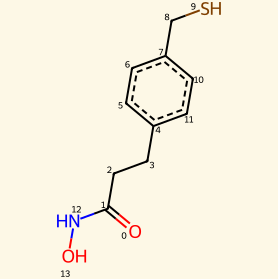 O=C(CCc1ccc(CS)cc1)NO